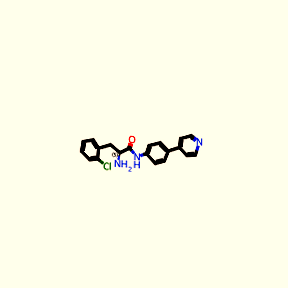 N[C@@H](Cc1ccccc1Cl)C(=O)Nc1ccc(-c2ccncc2)cc1